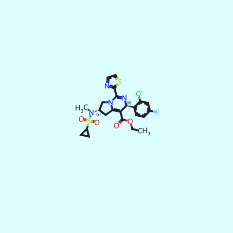 CCOC(=O)C1=C2C[C@H](N(C)S(=O)(=O)C3CC3)CN2C(c2nccs2)=N[C@H]1c1ccc(F)cc1Cl